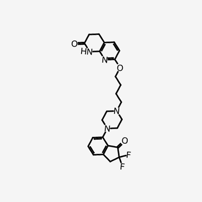 O=C1CCc2ccc(OCCCCN3CCN(c4cccc5c4C(=O)C(F)(F)C5)CC3)nc2N1